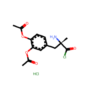 CC(=O)Oc1ccc(C[C@](C)(N)C(=O)Cl)cc1OC(C)=O.Cl